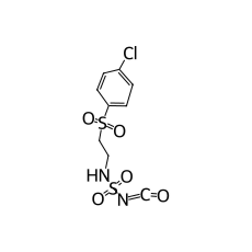 O=C=NS(=O)(=O)NCCS(=O)(=O)c1ccc(Cl)cc1